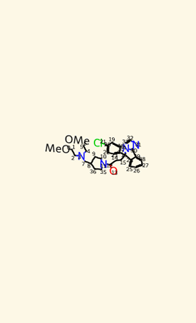 COCCN(CCOC)CC1CCN(C(=O)CCC2(c3ccc(Cl)cc3)c3ccccc3-c3nccn32)CC1